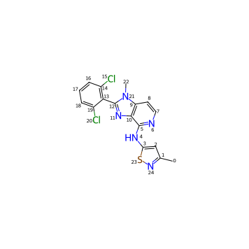 Cc1cc(Nc2nccc3c2nc(-c2c(Cl)cccc2Cl)n3C)sn1